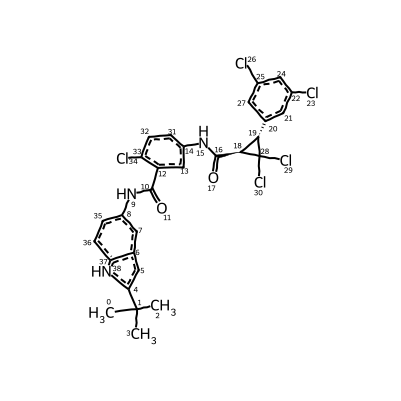 CC(C)(C)c1cc2cc(NC(=O)c3cc(NC(=O)[C@H]4[C@H](c5cc(Cl)cc(Cl)c5)C4(Cl)Cl)ccc3Cl)ccc2[nH]1